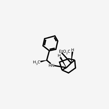 CCOC(=O)[C@@H]1C2CCC(CC2)[C@@H]1N[C@@H](C)c1ccccc1